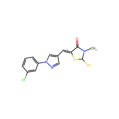 CN1C(=O)/C(=C/c2cnn(-c3cccc(Cl)c3)c2)SC1S